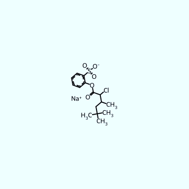 CC(CC(C)(C)C)C(Cl)C(=O)Oc1ccccc1S(=O)(=O)[O-].[Na+]